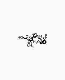 CCOc1cc(-c2cc(NCCn3c(C)cc4cccc(OCF)c43)ncn2)sc1NC(=O)CCO